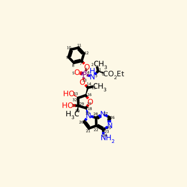 CCOC(=O)[C@H](C)NP(=O)(Oc1ccccc1)OC(C)[C@H]1O[C@@H](n2ccc3c(N)ncnc32)[C@](C)(O)[C@@H]1O